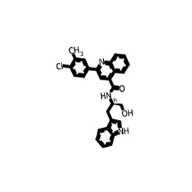 Cc1cc(-c2cc(C(=O)N[C@@H](CO)Cc3c[nH]c4ccccc34)c3ccccc3n2)ccc1Cl